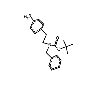 Bc1ccc(CCN(Cc2ccccc2)C(=O)OC(C)(C)C)cc1